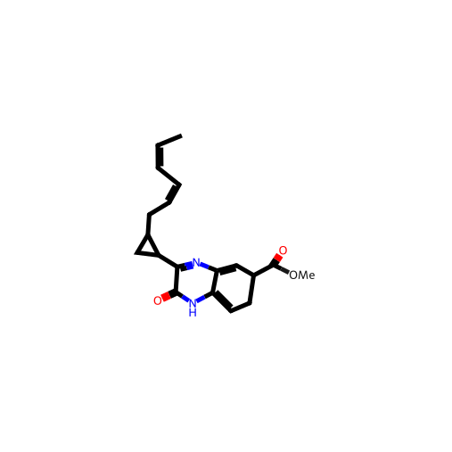 C/C=C\C=C/CC1CC1c1nc2c([nH]c1=O)=CCC(C(=O)OC)C=2